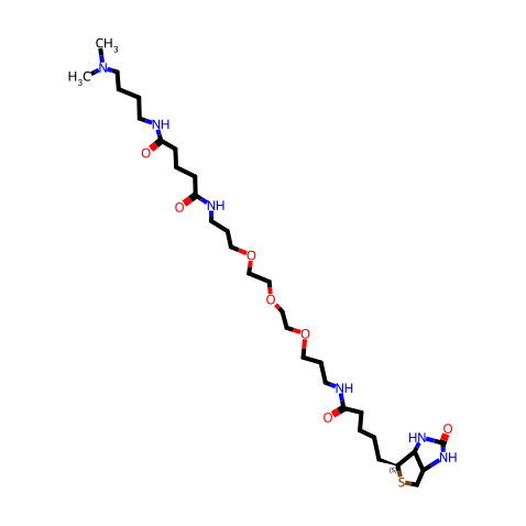 CN(C)CCCCNC(=O)CCCC(=O)NCCCOCCOCCOCCCNC(=O)CCCC[C@@H]1SCC2NC(=O)NC21